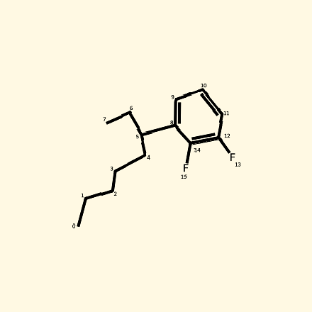 CCCCCC(CC)c1cccc(F)c1F